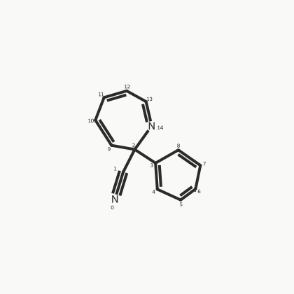 N#CC1(c2cc[c]cc2)C=CC=CC=N1